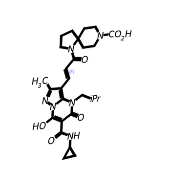 Cc1nn2c(O)c(C(=O)NC3CC3)c(=O)n(CC(C)C)c2c1/C=C/C(=O)N1CCCC12CCN(C(=O)O)CC2